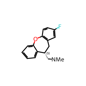 CNC[C@H]1Cc2cc(F)ccc2Oc2ccccc21